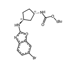 CC(C)(C)OC(=O)N[C@H]1CC[C@H](Nc2nc3ccc(Br)cc3o2)C1